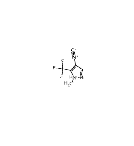 [C-]#[N+]C1=C(C(F)(F)F)[NH+]([CH2-])N=C1